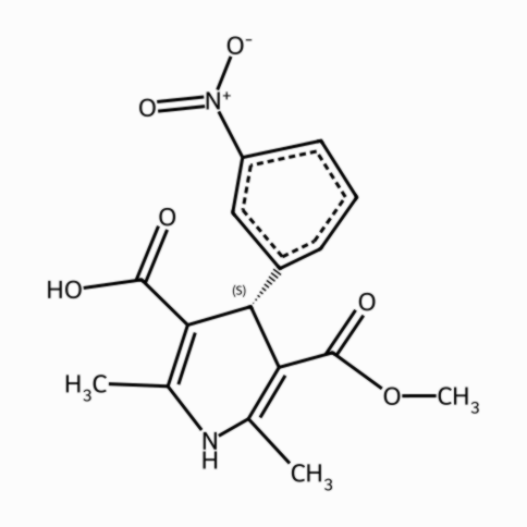 COC(=O)C1=C(C)NC(C)=C(C(=O)O)[C@@H]1c1cccc([N+](=O)[O-])c1